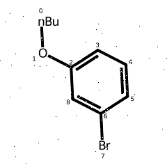 [CH2]CCCOc1cccc(Br)c1